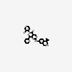 O=c1c2cnc(Nc3ccc4c(c3)CNCC43CC3)nc2c(-c2ccccn2)nn1-c1ccncc1Cl